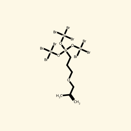 C=C(C)COCCC[Si](O[Si](Br)(Br)Br)(O[Si](Br)(Br)Br)O[Si](Br)(Br)Br